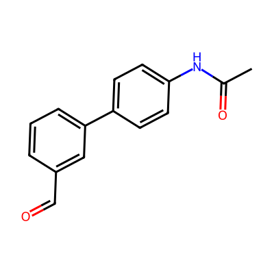 CC(=O)Nc1ccc(-c2cccc(C=O)c2)cc1